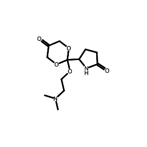 CN(C)CCOC1(C2CCC(=O)N2)OCC(=O)CO1